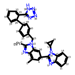 CCCc1nc2c(C)cc(-c3nc4ccccc4n3C3CC3)cc2n1Cc1ccc(-c2ccccc2-c2nnn[nH]2)cc1